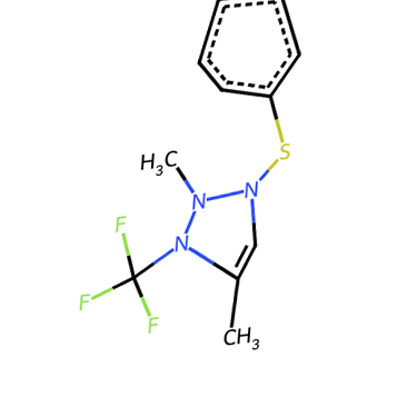 CC1=CN(Sc2ccccc2)N(C)N1C(F)(F)F